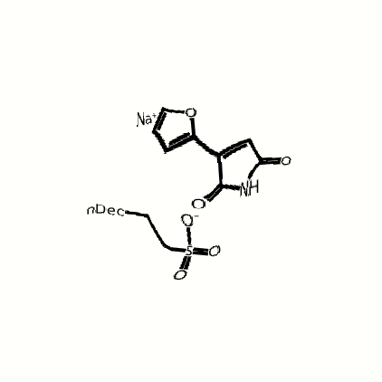 CCCCCCCCCCCCS(=O)(=O)[O-].O=C1C=C(c2ccco2)C(=O)N1.[Na+]